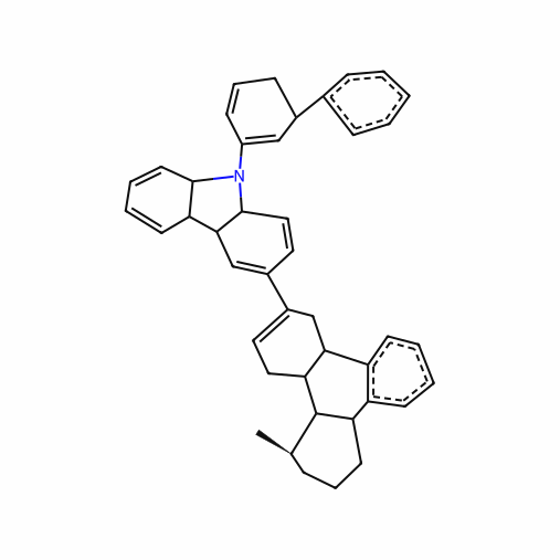 C[C@@H]1CCCC2c3ccccc3C3CC(C4=CC5C6C=CC=CC6N(C6=CC(c7ccccc7)CC=C6)C5C=C4)=CCC3C21